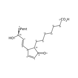 CCCCC[C@H](O)C=CC1C=CC(=O)C1CCCCCCC(=O)O